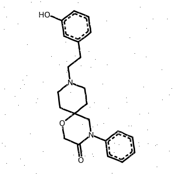 O=C1COC2(CCN(CCc3cccc(O)c3)CC2)CN1c1ccccc1